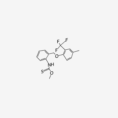 COC(=S)Nc1ccccc1COc1ccc(C)cc1C(F)(F)F